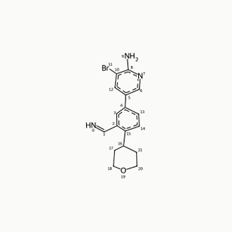 N=Cc1cc(-c2cnc(N)c(Br)c2)ccc1C1CCOCC1